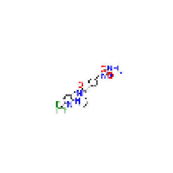 C[C@H](C(=O)NCc1ccc(C(F)(F)F)nc1N1CCCCC1)c1ccc(CNS(N)(=O)=O)cc1